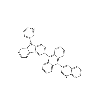 c1cncc(-n2c3ccccc3c3cc(-c4c5ccccc5c(-c5cnc6ccccc6c5)c5ccccc45)ccc32)c1